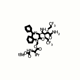 CC(C)C(NC(=O)OC(C)(C)C)C(=O)OCN1C(=O)[C@H](C(N)[C@H](CCC(F)(F)F)[C@H](CCC(F)(F)F)C(N)=O)N=C(c2ccccc2)c2ccccc21